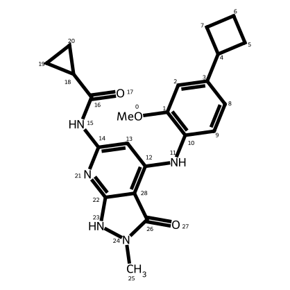 COc1cc(C2CCC2)ccc1Nc1cc(NC(=O)C2CC2)nc2[nH]n(C)c(=O)c12